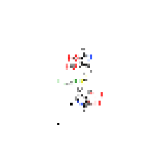 Cc1ncc(CCSSCCc2cnc(C)c(O)c2CO)c(CO)c1O.Cl.Cl